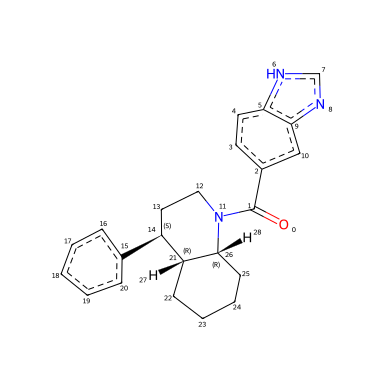 O=C(c1ccc2[nH]cnc2c1)N1CC[C@H](c2ccccc2)[C@H]2CCCC[C@H]21